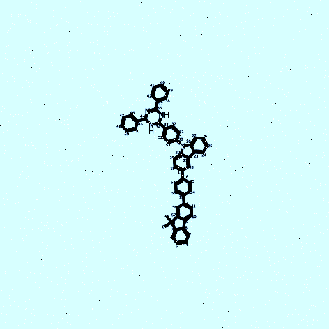 CC1(C)c2ccccc2-c2ccc(-c3ccc(-c4ccc5c(c4)c4ccccc4n5-c4ccc(C5NC(c6ccccc6)=NC(c6ccccc6)N5)cc4)cc3)cc21